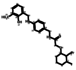 CC(C)C1C(C)CCCC1OCC(=O)NCc1ccc(NCc2cccc(C(=O)O)c2O)cc1